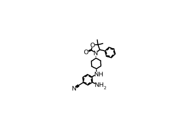 CC1(C)OC(=O)N([C@H]2CC[C@H](Nc3ccc(C#N)cc3N)CC2)C1c1ccccc1